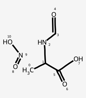 CC(NC=O)C(=O)O.O=NO